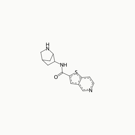 O=C(NC1CC2CNC1C2)c1cc2cnccc2s1